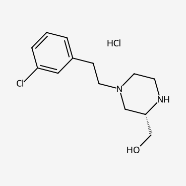 Cl.OC[C@@H]1CN(CCc2cccc(Cl)c2)CCN1